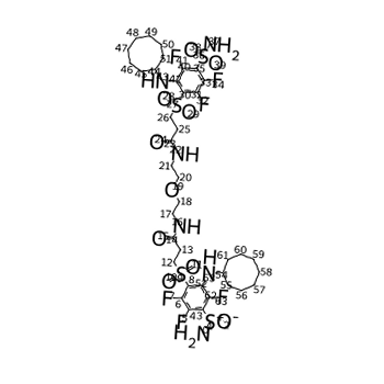 N[S+]([O-])c1c(F)c(F)c(S(=O)(=O)CCC(=O)NCCOCCNC(=O)CCS(=O)(=O)c2c(F)c(F)c(S(N)(=O)=O)c(F)c2NC2CCCCCCC2)c(NC2CCCCCCC2)c1F